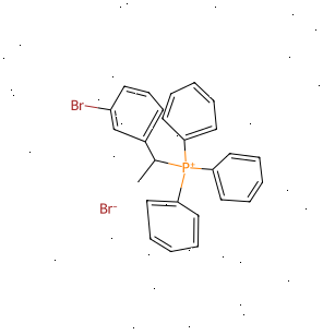 CC(c1cccc(Br)c1)[P+](c1ccccc1)(c1ccccc1)c1ccccc1.[Br-]